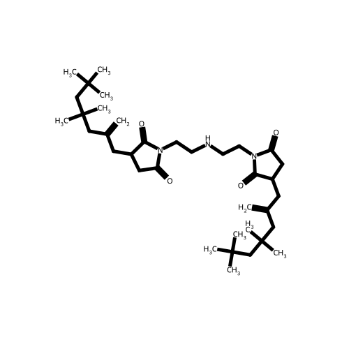 C=C(CC1CC(=O)N(CCNCCN2C(=O)CC(CC(=C)CC(C)(C)CC(C)(C)C)C2=O)C1=O)CC(C)(C)CC(C)(C)C